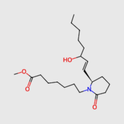 CCCCCC(O)/C=C/[C@H]1CCCC(=O)N1CCCCCCC(=O)OC